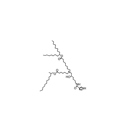 CCCCCCCCCCC(C)COC(=O)CCCCCN(CCCCCCCC(=O)OC(CCCCCCCC)CCCCCCCC)CC(O)CCCCNC(=O)c1cc[nH]c1